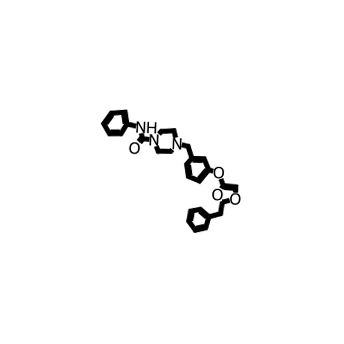 O=C(Nc1ccccc1)N1CCN(Cc2cccc(OC3=COC(Cc4ccccc4)O3)c2)CC1